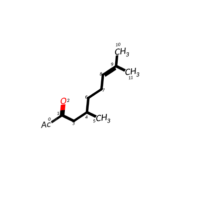 CC(=O)C(=O)CC(C)CCC=C(C)C